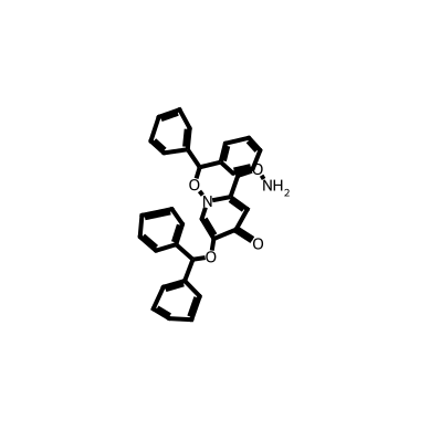 NOCc1cc(=O)c(OC(c2ccccc2)c2ccccc2)cn1OC(c1ccccc1)c1ccccc1